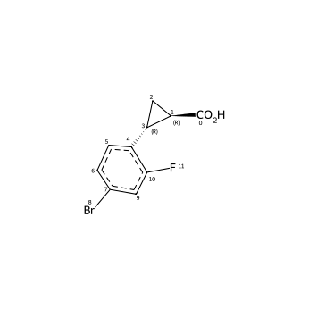 O=C(O)[C@@H]1C[C@H]1c1ccc(Br)cc1F